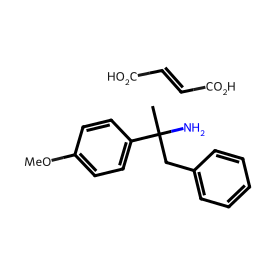 COc1ccc(C(C)(N)Cc2ccccc2)cc1.O=C(O)C=CC(=O)O